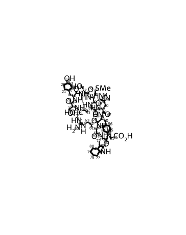 CSCC[C@H](NC(=O)[C@H](CO)NC(=O)[C@H](Cc1ccc(O)cc1)NC(=O)[C@@H](N)CO)C(=O)N[C@@H](CCC(=O)O)C(=O)N[C@@H](Cc1c[nH]cn1)C(=O)N[C@@H](Cc1ccccc1)C(=O)N[C@@H](CCCNC(=N)N)C(=O)N[C@@H](Cc1c[nH]c2ccccc12)C(=O)NCC(=O)O